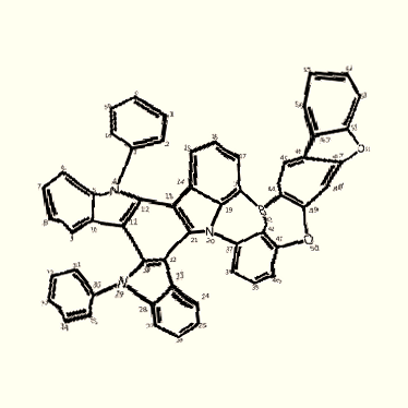 c1ccc(-n2c3ccccc3c3c2c2c4cccc5c4n(c2c2c4ccccc4n(-c4ccccc4)c32)-c2cccc3c2B5c2cc4c(cc2O3)oc2ccccc24)cc1